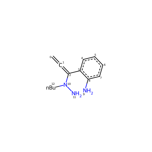 C=C=C(c1ccccc1N)N(N)CCCC